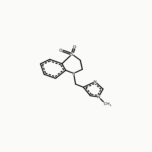 Cn1cnc(CN2CCS(=O)(=O)c3ccccc32)c1